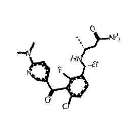 CC[C@@H](N[C@H](C)CC(N)=O)c1ccc(Cl)c(C(=O)c2ccc(N(C)C)nc2)c1F